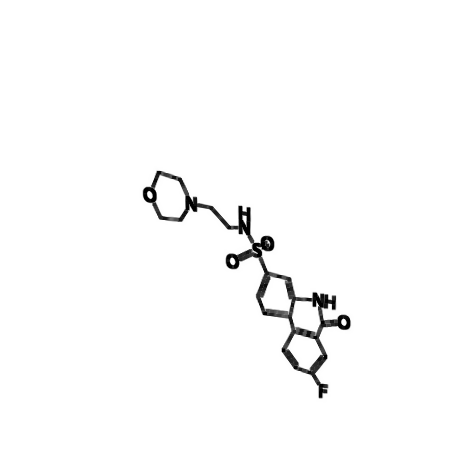 O=c1[nH]c2cc(S(=O)(=O)NCCN3CCOCC3)ccc2c2ccc(F)cc12